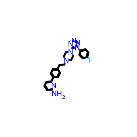 Nc1cccc(-c2ccc(CCN3CCN(c4nnnn4-c4ccc(F)cc4)CC3)cc2)n1